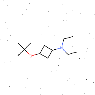 CCN(CC)C1CC(OC(C)(C)C)C1